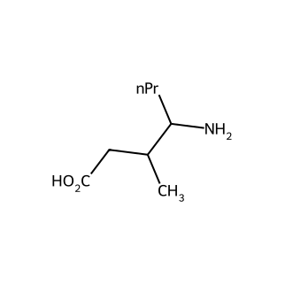 CCCC(N)C(C)CC(=O)O